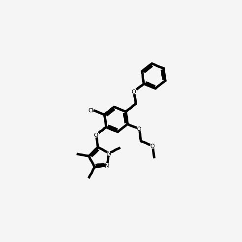 COCOc1cc(Oc2c(C)c(C)nn2C)c(Cl)cc1COc1ccccc1